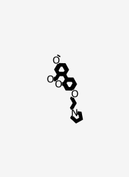 COc1ccc2c(c1)c(=O)oc1cc(OCCCN3CCCC3)ccc12